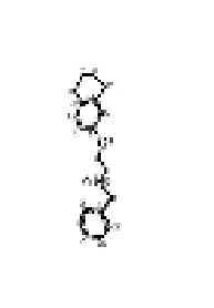 c1ccc(CNCCOc2ccc3c(c2)CCCC3)cc1